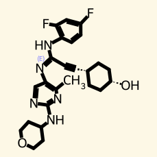 Cc1nc(NC2CCOCC2)ncc1/N=C(\C#C[C@H]1CC[C@@H](O)CC1)Nc1ccc(F)cc1F